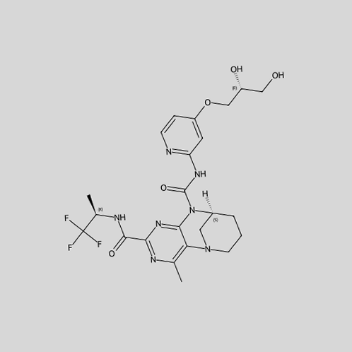 Cc1nc(C(=O)N[C@H](C)C(F)(F)F)nc2c1N1CCC[C@@H](C1)N2C(=O)Nc1cc(OC[C@H](O)CO)ccn1